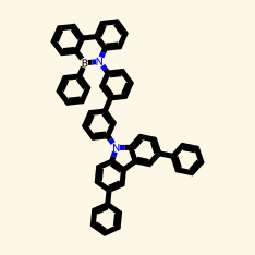 c1ccc(B2c3ccccc3-c3ccccc3N2c2cccc(-c3cccc(-n4c5ccc(-c6ccccc6)cc5c5cc(-c6ccccc6)ccc54)c3)c2)cc1